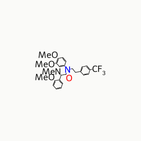 CN[C@H](C(=O)N(CCc1ccc(C(F)(F)F)cc1)c1ccc(OC)c(OC)c1)c1ccccc1OC